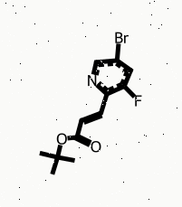 CC(C)(C)OC(=O)/C=C/c1ncc(Br)cc1F